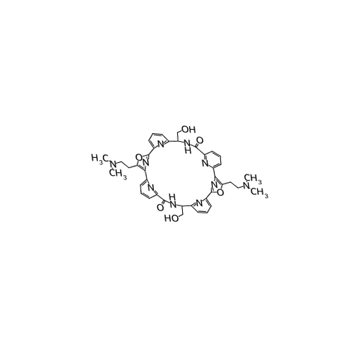 CN(C)CCc1oc2nc1-c1cccc(n1)C(=O)NC(CO)c1cccc(n1)-c1nc(c(CCN(C)C)o1)-c1cccc(n1)C(=O)NC(CO)c1cccc-2n1